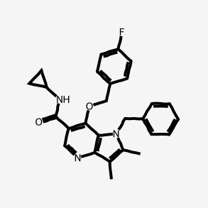 Cc1c(C)n(Cc2ccccc2)c2c(OCc3ccc(F)cc3)c(C(=O)NC3CC3)cnc12